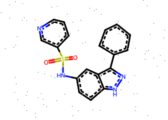 O=S(=O)(Nc1ccc2[nH]nc(-c3ccccc3)c2c1)c1cccnc1